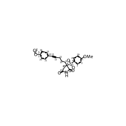 COc1ccc(S(=O)(=O)C2(CCCC#Cc3ccc(OC(F)(F)F)cc3)SC(=O)NC2=O)cc1